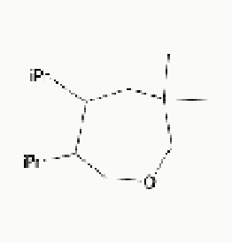 CC(C)C1COCC(C)(C)CC1C(C)C